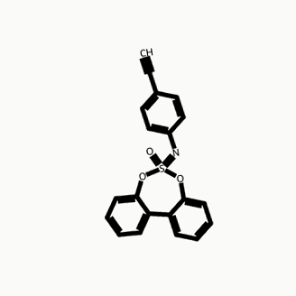 C#Cc1ccc(N=S2(=O)Oc3ccccc3-c3ccccc3O2)cc1